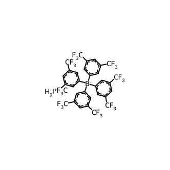 FC(F)(F)c1cc([B-](c2cc(C(F)(F)F)cc(C(F)(F)F)c2)(c2cc(C(F)(F)F)cc(C(F)(F)F)c2)c2cc(C(F)(F)F)cc(C(F)(F)F)c2)cc(C(F)(F)F)c1.[IH2+]